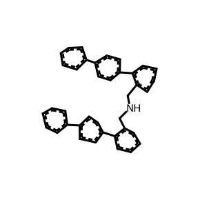 c1ccc(-c2ccc(-c3ccccc3CNCc3ccccc3-c3ccc(-c4ccccc4)cc3)cc2)cc1